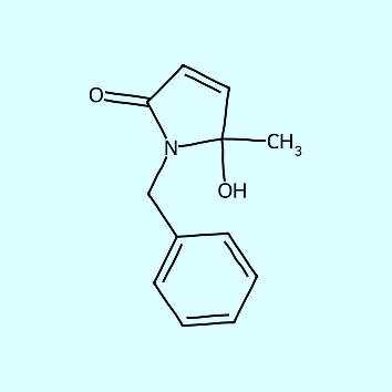 CC1(O)C=CC(=O)N1Cc1ccccc1